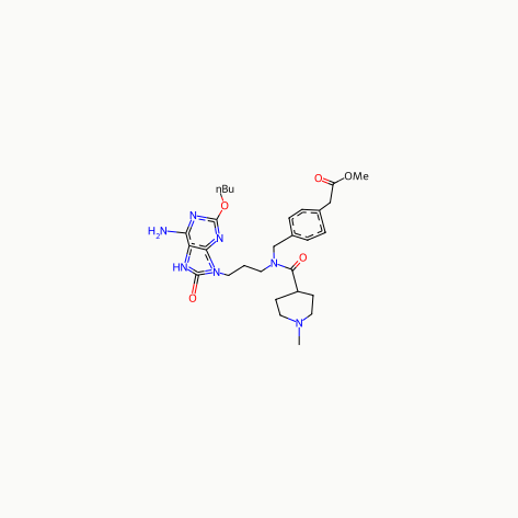 CCCCOc1nc(N)c2[nH]c(=O)n(CCCN(Cc3ccc(CC(=O)OC)cc3)C(=O)C3CCN(C)CC3)c2n1